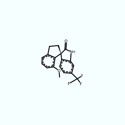 COc1cccc2c1[C@]1(CC2)C(=O)Nc2cc(C(F)(F)F)ccc21